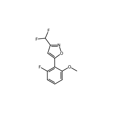 COc1cccc(F)c1-c1cc(C(F)F)no1